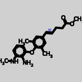 CNc1cccc(Oc2c(C)cc(/C=C/CCC(=O)OC)cc2C)c1N